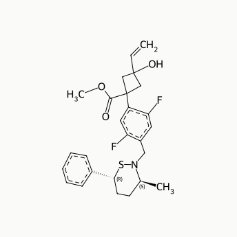 C=CC1(O)CC(C(=O)OC)(c2cc(F)c(CN3S[C@@H](c4ccccc4)CC[C@@H]3C)cc2F)C1